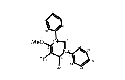 CCC1=C(OC)N(c2ccccc2)[CH]N(c2ccccc2)C1C